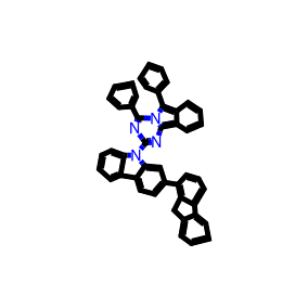 c1ccc(-c2nc(-n3c4ccccc4c4ccc(-c5cccc6c5Cc5ccccc5-6)cc43)nc3c4ccccc4c(-c4ccccc4)n23)cc1